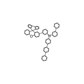 c1ccc(-c2ccc(-c3ccc(N(c4cccc(-c5ccccc5)c4)c4cccc(-c5ccc6c(c5)C5(c7ccccc7O6)c6ccccc6-c6ccccc65)c4)cc3)cc2)cc1